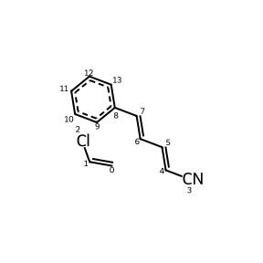 C=CCl.N#CC=CC=Cc1ccccc1